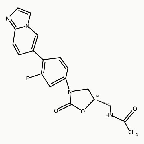 CC(=O)NC[C@H]1CN(c2ccc(-c3ccc4nccn4c3)c(F)c2)C(=O)O1